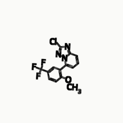 COc1ccc(C(F)(F)F)cc1-c1cccc2nc(Cl)nn12